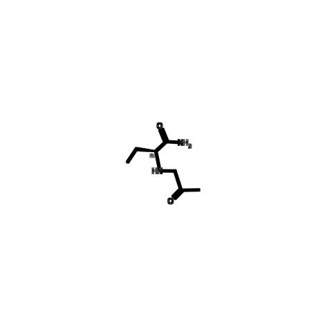 CC[C@H](NCC(C)=O)C(N)=O